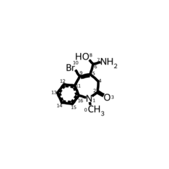 CN1C(=O)CC(C(N)O)=C(Br)c2ccccc21